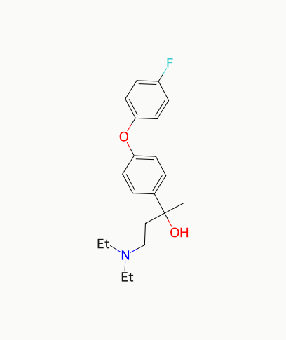 CCN(CC)CCC(C)(O)c1ccc(Oc2ccc(F)cc2)cc1